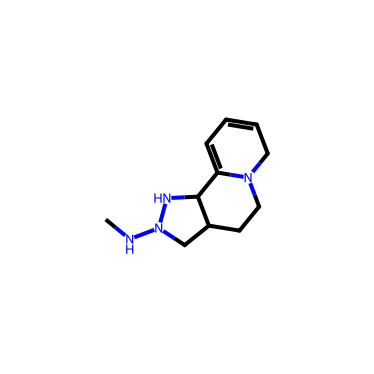 CNN1CC2CCN3CC=CC=C3C2N1